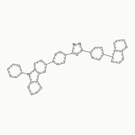 c1ccc(-n2c3ccccc3c3cc(-c4ccc(-c5nnc(-c6ccc(-c7cccc8ccccc78)cc6)o5)cc4)ccc32)cc1